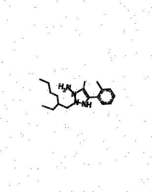 CCCCC(CC)CN1NC(c2ccccc2C)=C(C)N1N